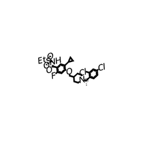 CCS(=O)(=O)NC(=O)c1cc(C2CC2)c(OCC2CCN([C@@H](C)c3ccc(Cl)cc3Cl)CC2)cc1F